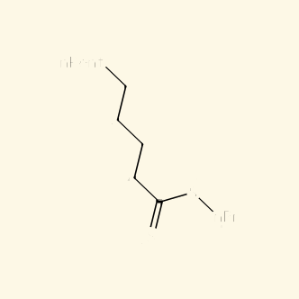 CCCCCCCCCC(=S)SCCC